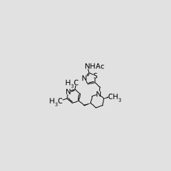 CC(=O)Nc1ncc(CN2C[C@H](Cc3cc(C)nc(C)c3)CC[C@@H]2C)s1